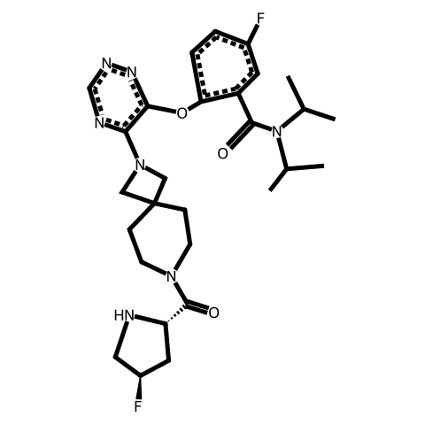 CC(C)N(C(=O)c1cc(F)ccc1Oc1nncnc1N1CC2(CCN(C(=O)[C@@H]3C[C@@H](F)CN3)CC2)C1)C(C)C